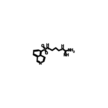 N=C(N)NCCCNS(=O)(=O)c1cccc2cnccc12